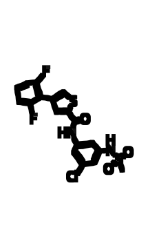 CS(=O)(=O)Nc1cc(Cl)cc(NC(=O)c2cc(-c3c(F)cccc3F)cs2)c1